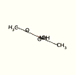 CCCCCCCCCCCCCCCC[C@H](O)CNC(=O)CCCCCCCCCCCCCCC(=O)CCCCCCCCCCC